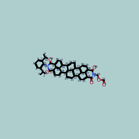 CC(C)c1cccc(C(C)C)c1N1C(=O)c2ccc3c4ccc5c6ccc7c8c(ccc(c9ccc(c%10ccc(c2c3%10)C1=O)c4c59)c86)C(=O)N(COC=O)C7=O